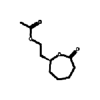 CC(=O)OCC[C@@H]1CCCCC(=O)O1